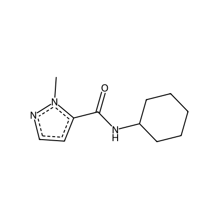 Cn1nccc1C(=O)NC1CCCCC1